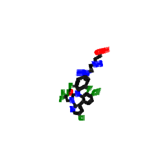 O=C1N(CC(F)(F)F)c2ncc(Cl)cc2-c2ccc(Cl)cc2N1c1c(F)cc(NCCNCCO)cc1F